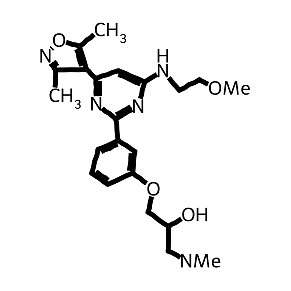 CNCC(O)COc1cccc(-c2nc(NCCOC)cc(-c3c(C)noc3C)n2)c1